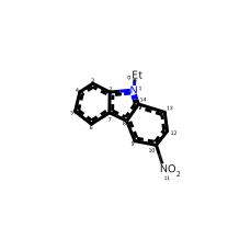 CCn1c2cc[c]cc2c2cc([N+](=O)[O-])ccc21